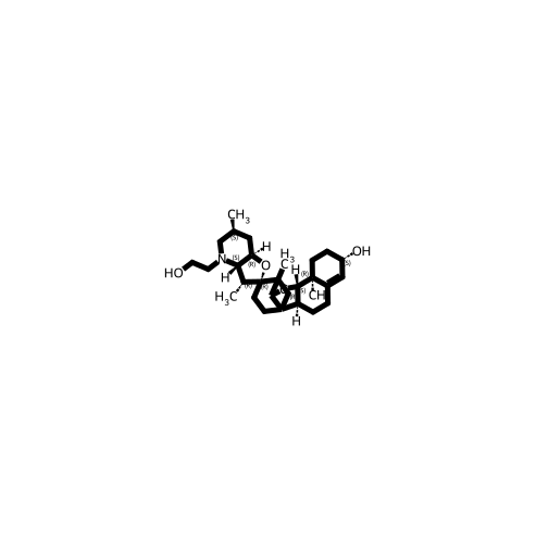 C[C@H]1C[C@H]2O[C@]3(CCC45CC3(C)C4C[C@H]3[C@H]5CCC4=C[C@@H](O)CC[C@@]43C)[C@H](C)[C@@H]2N(CCO)C1